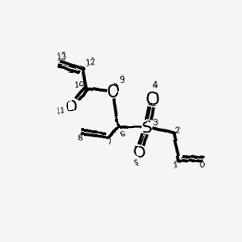 C=CCS(=O)(=O)C(C=C)OC(=O)C=C